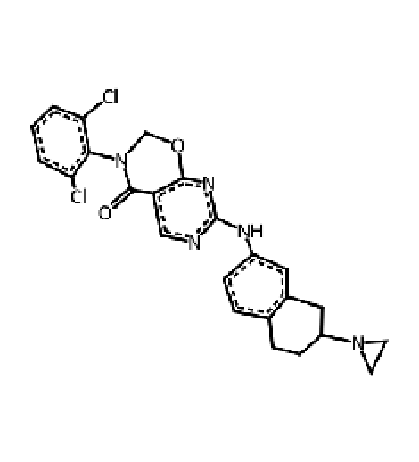 O=C1c2cnc(Nc3ccc4c(c3)CC(N3CC3)CC4)nc2OCN1c1c(Cl)cccc1Cl